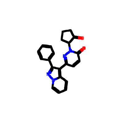 O=C1CCCC1n1nc(-c2c(-c3ccccc3)nn3ccccc23)ccc1=O